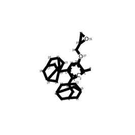 Cc1cc(C23CC4CC(CC(C4)C2)C3)c(C23CC4CC(CC(C4)C2)C3)cc1OCC1CO1